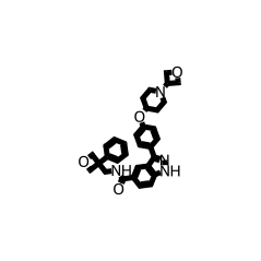 O=C(NCC1(c2ccccc2)COC1)c1ccc2[nH]nc(-c3ccc(OC4CCN(C5COC5)CC4)cc3)c2c1